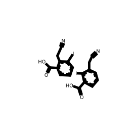 N#CCc1c(I)cccc1C(=O)O.N#CCc1cccc(C(=O)O)c1I